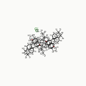 CC(C)CC1=Cc2c(cc3c(c2-c2ccc(C(C)(C)C)cc2)CCC3)[C]12[SiH](C)[C]1(C(CC(C)C)=Cc3c1cc1c(c3-c3ccc(C(C)(C)C)cc3)CCC1)[Zr+2]21[C]2(C(CC(C)C)=Cc3c2cc2c(c3-c3ccc(C(C)(C)C)cc3)CCC2)[SiH](C)[C]12C(CC(C)C)=Cc1c2cc2c(c1-c1ccc(C(C)(C)C)cc1)CCC2.[Cl-].[Cl-]